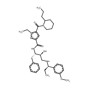 CCCC1CCCCN1C(=O)c1cc(C(=O)N[C@@H](Cc2ccccc2)[C@@H](O)CN[C@H](CC)c2cccc(OC)c2)nn1CC